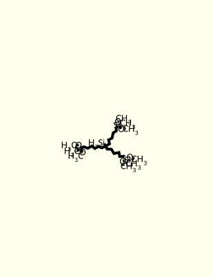 CO[Si](C)(CCCCCCC([SiH3])(CCCCCC[Si](C)(OC)OC)CCCCCC[Si](C)(OC)OC)OC